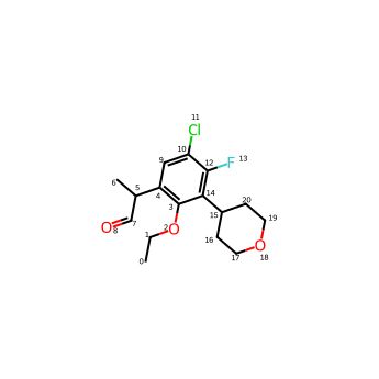 CCOc1c(C(C)C=O)cc(Cl)c(F)c1C1CCOCC1